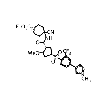 CCOC(=O)N1CCC(C#N)(NC(=O)[C@@H]2C[C@@H](S(=O)(=O)c3ccc(-c4cnn(C)c4)cc3C(F)(F)F)C[C@H]2OC)CC1